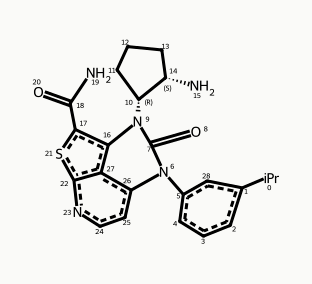 CC(C)c1cccc(N2C(=O)N([C@@H]3CCC[C@@H]3N)c3c(C(N)=O)sc4nccc2c34)c1